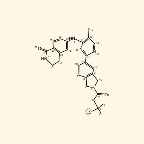 CC(C)(CC(=O)N1Cc2ccc(-c3ncc(F)c(Nc4ccc5c(c4)CCNC5=O)n3)cc2C1)C(F)(F)F